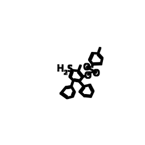 Cc1ccc(S(=O)(=O)Oc2c(C)ccc(-c3ccccc3)c2-c2ccccc2)cc1.S